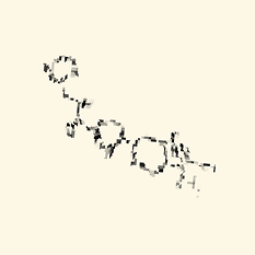 CCC(=O)N(C)c1ccc(-c2ccc(C(=O)NCc3cccnc3)cn2)cc1C